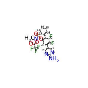 CN(OC(=O)C(F)(F)F)S(=O)(=O)c1ccccc1-c1ccc(-c2cnc(N)nc2)c(F)c1F